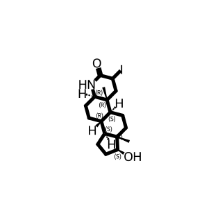 C[C@]12CC(I)C(=O)N[C@@H]1CC[C@@H]1[C@@H]2CC[C@]2(C)[C@@H](O)CC[C@@H]12